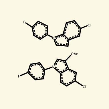 CC(=O)Oc1cn(-c2ccc(F)cc2)c2ccc(Cl)cc12.Fc1ccc(-n2ccc3cc(Cl)ccc32)cc1